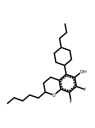 CCCCCC1CCc2c(c(F)c(F)c(O)c2C2CCC(CCC)CC2)O1